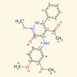 CCn1nc(-c2ccccc2)c(C(C)=O)c(Nc2ccc(OC)c(OC)c2)c1=O